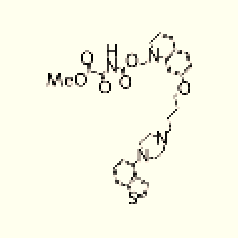 COC(=O)C(=O)NC(=O)OCN1CC=Cc2ccc(OCCCCN3CCN(c4cccc5sccc45)CC3)cc21